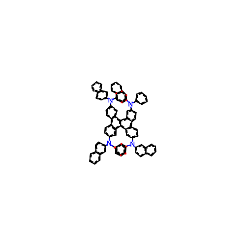 c1ccc(N(c2ccc3ccccc3c2)c2ccc3c4ccc(N(c5ccccc5)c5ccc6ccccc6c5)cc4c4c5cc(N(c6ccccc6)c6ccc7ccccc7c6)ccc5c5ccc(N(c6ccccc6)c6ccc7ccccc7c6)cc5c4c3c2)cc1